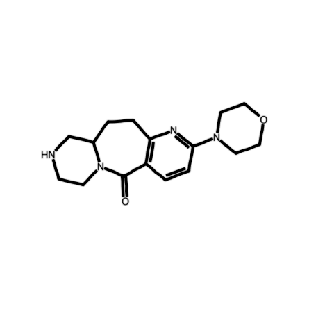 O=C1c2ccc(N3CCOCC3)nc2CCC2CNCCN12